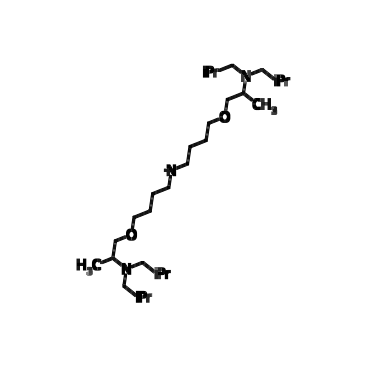 CC(C)CN(CC(C)C)C(C)COCCCC[N]CCCCOCC(C)N(CC(C)C)CC(C)C